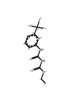 CCOC(=O)NC(=S)Nc1cccc(C(F)(F)F)n1